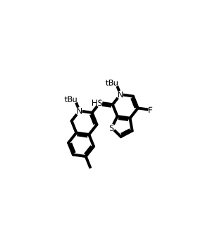 Cc1ccc2c(c1)C=C(/[SH]=c1\c3sccc3c(F)cn1C(C)(C)C)N(C(C)(C)C)C2